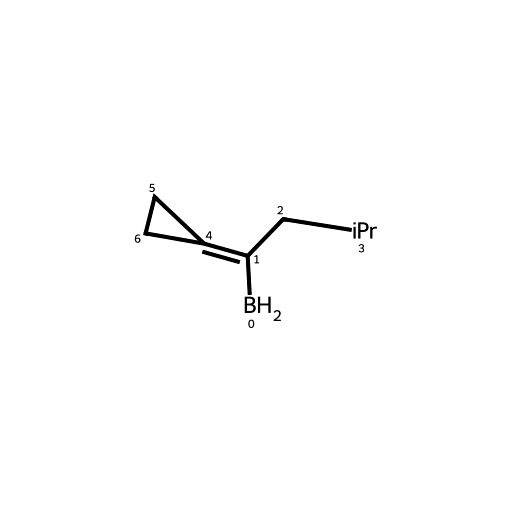 BC(CC(C)C)=C1CC1